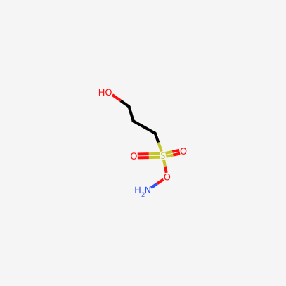 NOS(=O)(=O)CCCO